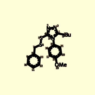 CCC(C)c1nnc(SSCc2ccccc2)n1-c1ccc(OC)cc1